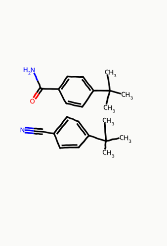 CC(C)(C)c1ccc(C#N)cc1.CC(C)(C)c1ccc(C(N)=O)cc1